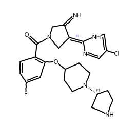 N=C1CN(C(=O)c2ccc(F)cc2OC2CCN([C@@H]3CCNC3)CC2)C/C1=C1\N=CC(Cl)=CN1